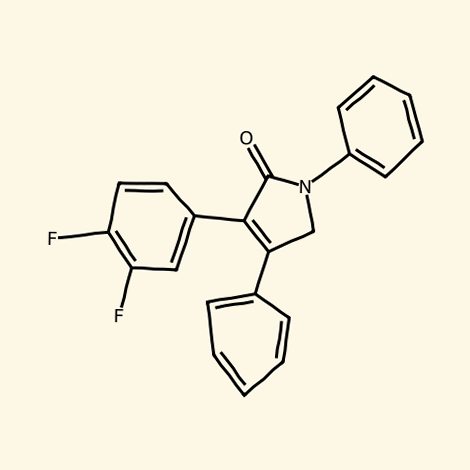 O=C1C(c2ccc(F)c(F)c2)=C(c2ccccc2)CN1c1ccccc1